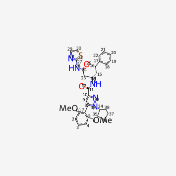 COc1cccc(OC)c1-c1cc(C(=O)N[C@@H](CCc2ccccc2)CC(=O)Nc2nccs2)nn1C1CCCC1